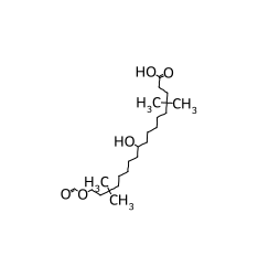 CC(C)(CCCCCC(O)CCCCCC(C)(C)CCC(=O)O)CCOC=O